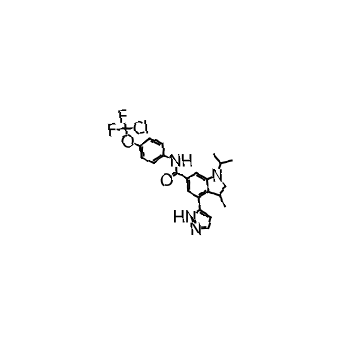 CC1CN(C(C)C)c2cc(C(=O)Nc3ccc(OC(F)(F)Cl)cc3)cc(-c3ccn[nH]3)c21